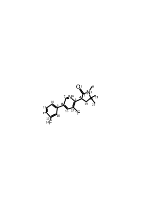 CN1C(=O)C(c2ncc(-c3cccc(F)c3)cc2F)CC1(C)C